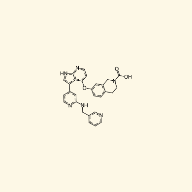 O=C(O)N1CCc2ccc(Oc3ccnc4[nH]cc(-c5ccnc(NCc6cccnc6)c5)c34)cc2C1